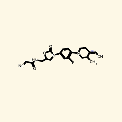 CC1CN(c2ccc(N3CC(CNC(=O)CC#N)OC3=O)cc2F)CC/C1=C/C#N